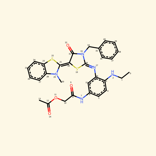 CCNc1ccc(NC(=O)COC(C)=O)cc1N=C1SC(=C2Sc3ccccc3N2C)C(=O)N1Cc1ccccc1